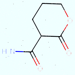 NC(=O)C1CCCOC1=O